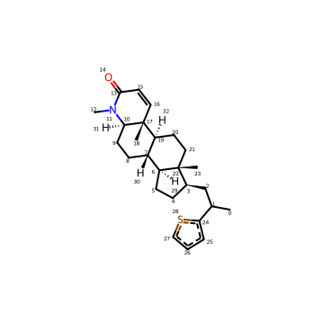 CC(C[C@H]1CC[C@H]2[C@@H]3CC[C@H]4N(C)C(=O)C=C[C@]4(C)[C@H]3CC[C@]12C)c1cccs1